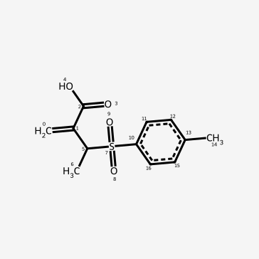 C=C(C(=O)O)C(C)S(=O)(=O)c1ccc(C)cc1